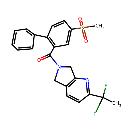 CC(F)(F)c1ccc2c(n1)CN(C(=O)c1cc(S(C)(=O)=O)ccc1-c1ccccc1)C2